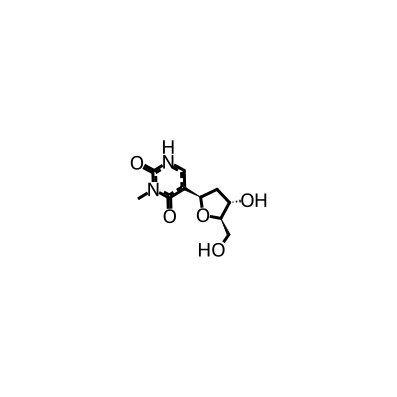 Cn1c(=O)[nH]cc([C@H]2C[C@H](O)[C@@H](CO)O2)c1=O